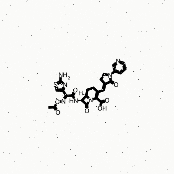 CC(=O)ON=C(C(=O)N[C@@H]1C(=O)N2C(C(=O)O)=C(C=C3CCN(c4cccnc4)C3=O)CC[C@H]12)c1csc(N)n1